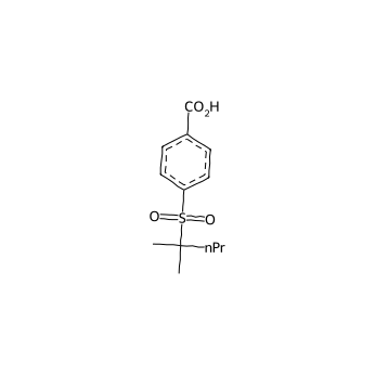 CCCC(C)(C)S(=O)(=O)c1ccc(C(=O)O)cc1